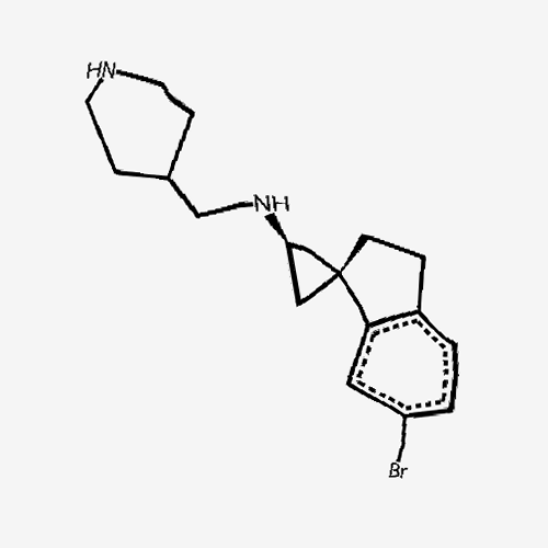 Brc1ccc2c(c1)[C@]1(CC2)C[C@H]1NCC1CCNCC1